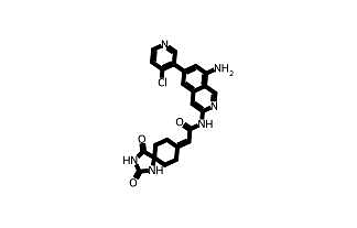 Nc1cc(-c2cnccc2Cl)cc2cc(NC(=O)C=C3CCC4(CC3)NC(=O)NC4=O)ncc12